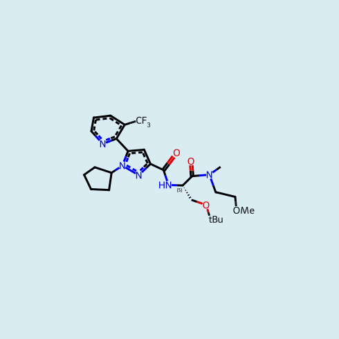 COCCN(C)C(=O)[C@H](COC(C)(C)C)NC(=O)c1cc(-c2ncccc2C(F)(F)F)n(C2CCCC2)n1